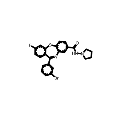 O=C(NN1CCCC1)c1ccc2c(c1)N=C(c1cccc(Br)c1)c1ccc(F)cc1S2